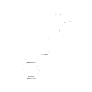 CCN(CC(O)COc1ccccc1O)NC(N)=O